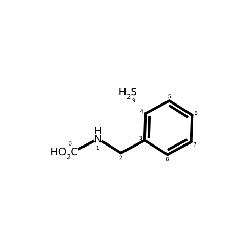 O=C(O)NCc1ccccc1.S